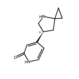 O=c1cc([C@H]2CNC3(CC3)C2)cc[nH]1